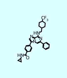 O=C(NC1CC1)c1ccc(-c2cnc3c(NCC4CCC(C(F)(F)F)CC4)nc(-c4ccccc4)cn23)cc1